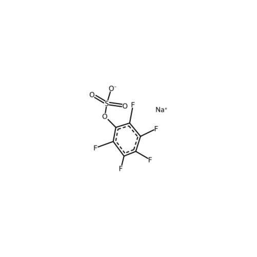 O=S(=O)([O-])Oc1c(F)c(F)c(F)c(F)c1F.[Na+]